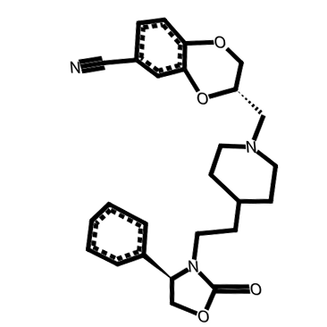 N#Cc1ccc2c(c1)O[C@@H](CN1CCC(CCN3C(=O)OC[C@H]3c3ccccc3)CC1)CO2